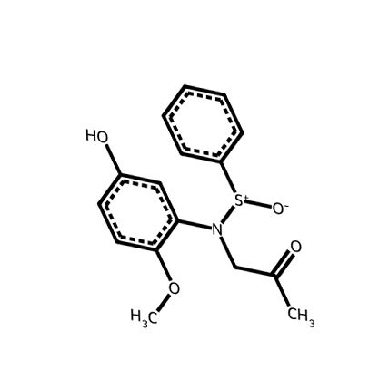 COc1ccc(O)cc1N(CC(C)=O)[S+]([O-])c1ccccc1